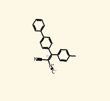 [C-]#[N+]/C(C#N)=C(\c1ccc(C)cc1)c1ccc(-c2ccccc2)cc1